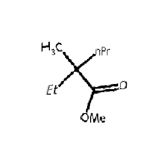 CCCC(C)(CC)C(=O)OC